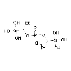 CCC(OP(C)(=O)OC(CC)[Si](O)(O)O)[Si](O)(O)O